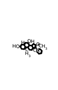 COC1=C(N2CCCCC2)[C@@]2(C)CCC3C(C2C1)[C@@H](O)C[C@H]1C[C@@H](O)CC[C@]31C